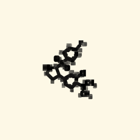 CN(C)c1ccc(C2CCNC2S(=O)(=O)c2ccc(F)cc2)cc1Cl